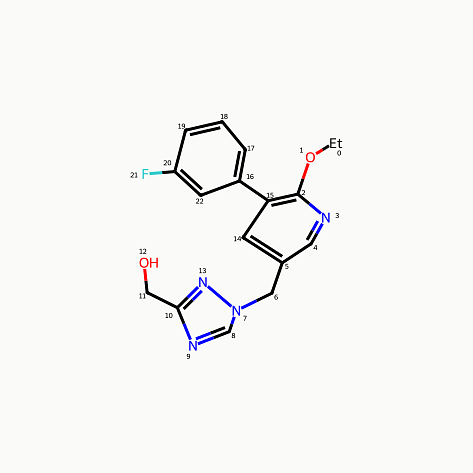 CCOc1ncc(Cn2cnc(CO)n2)cc1-c1cccc(F)c1